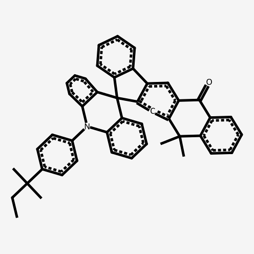 CCC(C)(C)c1ccc(N2c3ccccc3C3(c4ccccc4-c4cc5c(cc43)C(C)(C)c3ccccc3C5=O)c3ccccc32)cc1